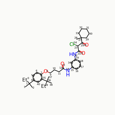 CCC(C)(C)c1ccc(OCCCC(=O)Nc2cccc(NC(=O)C(Cl)C(=O)C3(C)CCCCC3)c2)c(C(C)(C)CC)c1